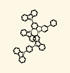 C1=CC2C(C=C1c1ccccc1)c1cc(-n3c4ccccc4c4ccccc43)cc(-n3c4ccccc4c4ccccc43)c1N2c1ccc2c(c1)c1ccccc1n2-c1ccc(-n2c3ccccc3c3ccccc32)cc1